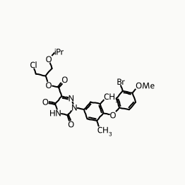 COc1ccc(Oc2c(C)cc(-n3nc(C(=O)OC(CCl)COC(C)C)c(=O)[nH]c3=O)cc2C)cc1Br